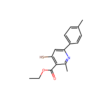 CCOC(=O)c1c(S)cc(-c2ccc(C)cc2)nc1C